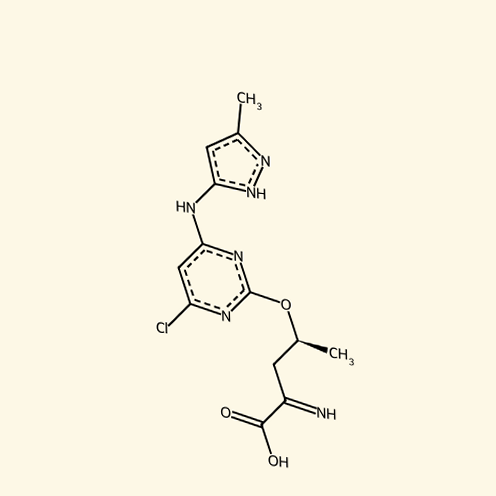 Cc1cc(Nc2cc(Cl)nc(O[C@@H](C)CC(=N)C(=O)O)n2)[nH]n1